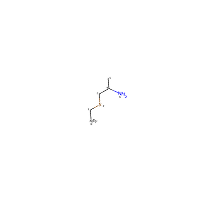 [CH2]CCCSCC(C)N